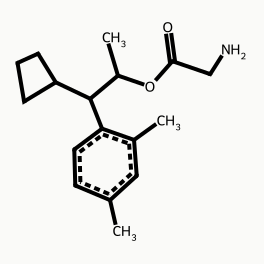 Cc1ccc(C(C2CCC2)C(C)OC(=O)CN)c(C)c1